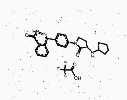 O=C(O)C(F)(F)F.O=C1C(NC2CCCC2)CCN1c1ccc(-c2n[nH]c(=O)c3ccccc23)cc1